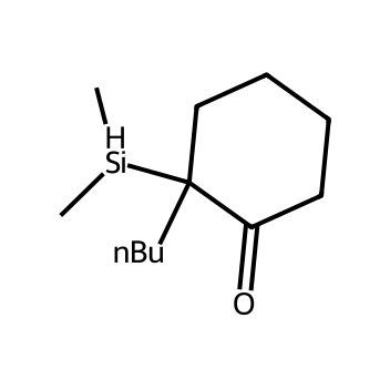 CCCCC1([SiH](C)C)CCCCC1=O